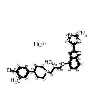 Cc1nnc(-c2cc3c(OC[C@@H](O)CN4CCC(c5ccc(Cl)c(C)c5)CC4)cccc3o2)o1.Cl